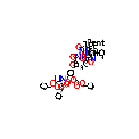 CCCCCC(C(=O)NCNC(=O)c1ccc(-c2ccc(C(=O)NC(CC(=O)OCc3ccccc3)C(=O)OCc3ccccc3)c(OCC(=O)OCc3ccccc3)c2)o1)[C@@H](CC)N(C=O)OC(=O)c1c(C)noc1C